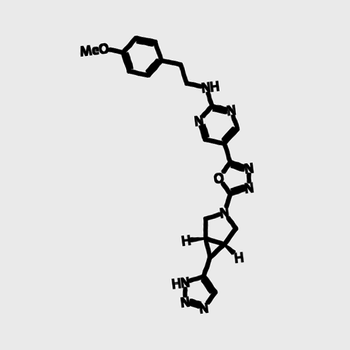 COc1ccc(CCNc2ncc(-c3nnc(N4C[C@@H]5C(c6cnn[nH]6)[C@@H]5C4)o3)cn2)cc1